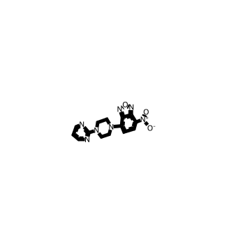 O=[N+]([O-])c1ccc(N2CCN(c3ncccn3)CC2)c2nonc12